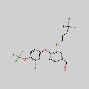 O=Cc1ccc(Oc2ccc(OC(F)(F)F)c(Cl)c2)c(OCCCC(F)(F)F)c1